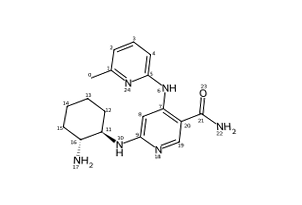 Cc1cccc(Nc2cc(N[C@@H]3CCCC[C@H]3N)ncc2C(N)=O)n1